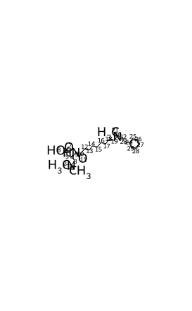 CN(C)CC(CC(=O)O)NC(=O)CCCCCCCCN(C)CCc1ccccc1